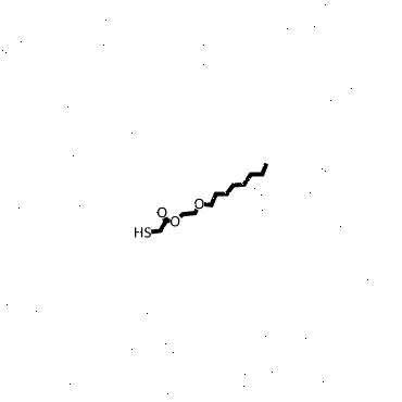 CCCCCCCCOCCOC(=O)CS